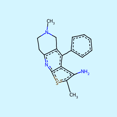 Cc1sc2nc3c(c(-c4ccccc4)c2c1N)CN(C)CC3